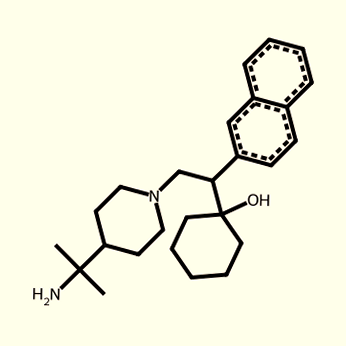 CC(C)(N)C1CCN(CC(c2ccc3ccccc3c2)C2(O)CCCCC2)CC1